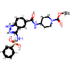 CC(C)(C)OC(=O)N1CCC(NC(=O)c2ccc3[nH]nc(NS(=O)(=O)c4ccccc4)c3c2)CC1